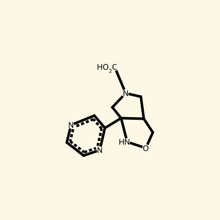 O=C(O)N1CC2CONC2(c2cnccn2)C1